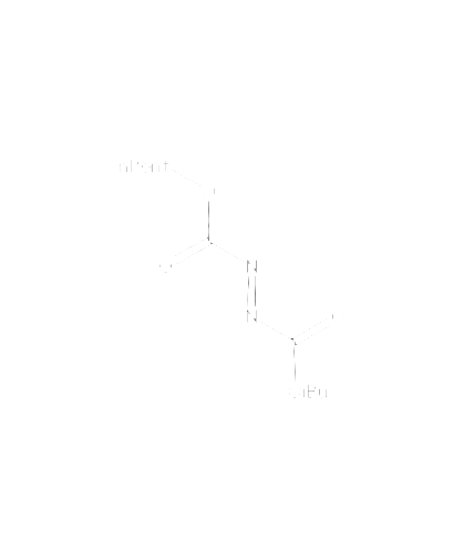 CCCCCOC(=O)/N=N/C(=O)OCC(C)C